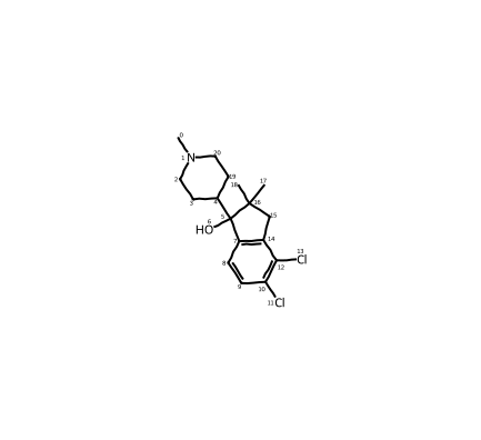 CN1CCC(C2(O)c3ccc(Cl)c(Cl)c3CC2(C)C)CC1